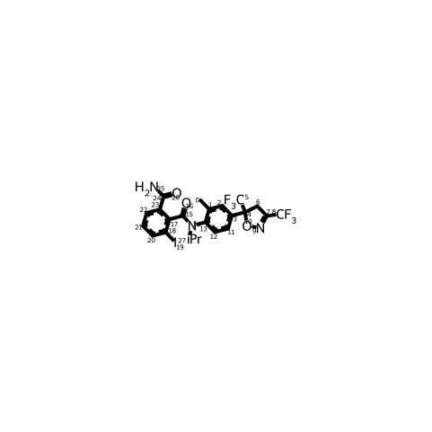 Cc1cc(C2(C(F)(F)F)CC(C(F)(F)F)=NO2)ccc1N(C(=O)c1c(I)cccc1C(N)=O)C(C)C